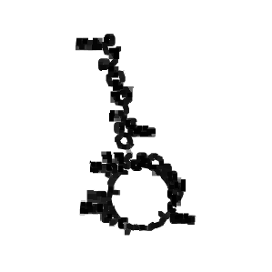 CNC(=O)CN(C)CC(=O)N1CCN(c2ncc(CNC(=O)O[C@@H]3CC[C@@H](C[C@@H](N)[C@@H]4C[C@@H](OC)[C@H](C)/C=C(\C)[C@@H](O)[C@@H](OC)C(=O)[C@H](C)C[C@H](C)/C=C/C=C/C=C(\C)[C@@H](OC)C[C@@H]5CC[C@@H](C)[C@@](O)(O5)C(=O)C(=O)N5CCCC[C@H]5C(=O)O4)C[C@H]3OC)cn2)CC1